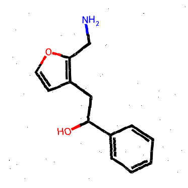 NCc1occc1CC(O)c1ccccc1